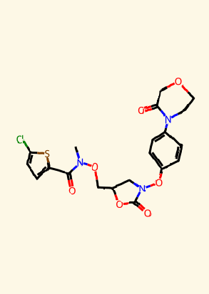 CN(OCC1CN(Oc2ccc(N3CCOCC3=O)cc2)C(=O)O1)C(=O)c1ccc(Cl)s1